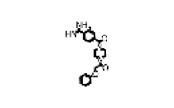 N=C(N)c1ccc(C(=O)N2CCN(C(=O)COc3ccccc3)CC2)cc1